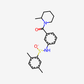 Cc1ccc(C)c([S+]([O-])Nc2cccc(C(=O)N3CCCCC3C)c2)c1